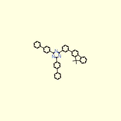 CC1(C)c2ccccc2-c2ccc(-c3cccc(-c4nc(-c5ccc(-c6ccccc6)cc5)nc(-c5ccc(-c6ccccc6)cc5)n4)c3)cc21